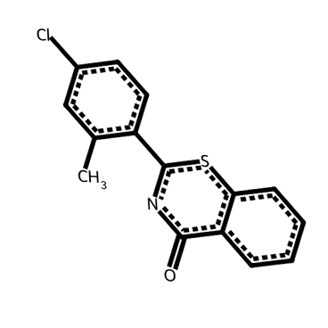 Cc1cc(Cl)ccc1-c1nc(=O)c2ccccc2s1